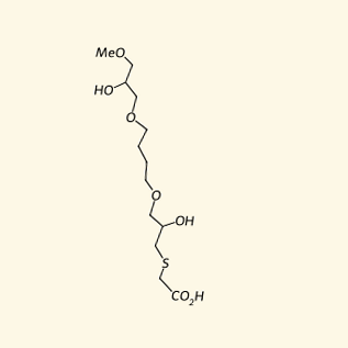 COCC(O)COCCCCOCC(O)CSCC(=O)O